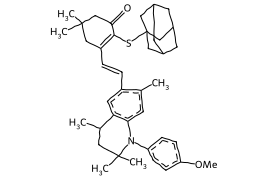 COc1ccc(N2c3cc(C)c(/C=C/C4=C(SC56CC7CC(CC(C7)C5)C6)C(=O)CC(C)(C)C4)cc3C(C)CC2(C)C)cc1